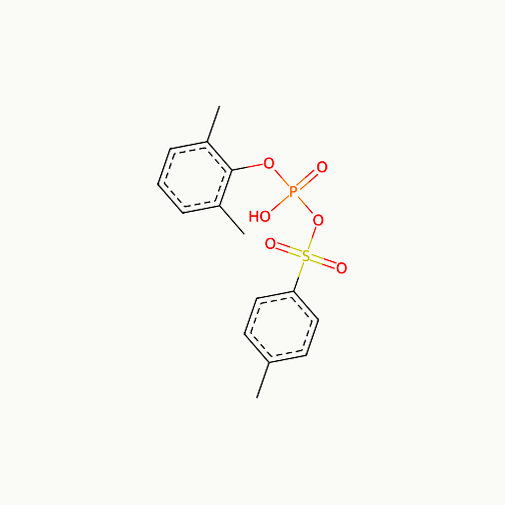 Cc1ccc(S(=O)(=O)OP(=O)(O)Oc2c(C)cccc2C)cc1